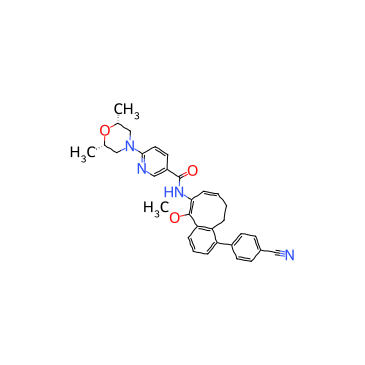 CO/C1=C(NC(=O)c2ccc(N3C[C@@H](C)O[C@@H](C)C3)nc2)/C=C\CCc2c1cccc2-c1ccc(C#N)cc1